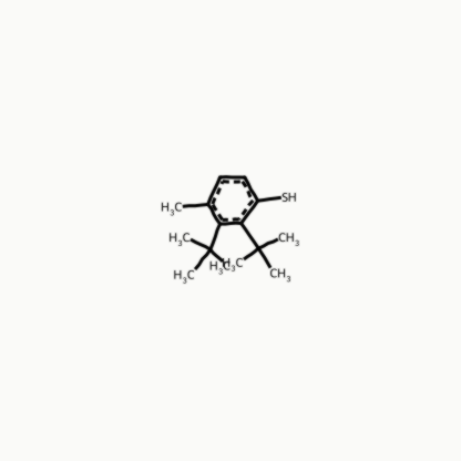 Cc1ccc(S)c(C(C)(C)C)c1C(C)(C)C